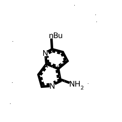 CCCCc1ccc2c(N)nccc2n1